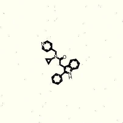 O=C(Cc1c(-c2ccccc2)[nH]c2ccccc12)N(Cc1ccncc1)C1CC1